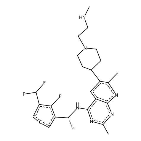 CNCCN1CCC(c2cc3c(N[C@H](C)c4cccc(C(F)F)c4F)nc(C)nc3nc2C)CC1